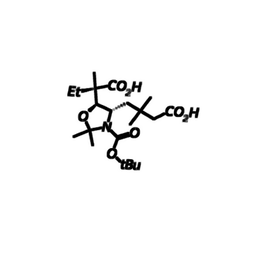 CC[C@@](C)(C(=O)O)[C@@H]1OC(C)(C)N(C(=O)OC(C)(C)C)[C@H]1CC(C)(C)CC(=O)O